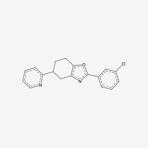 Clc1cccc(-c2nc3c(o2)CCC(c2ccccn2)C3)c1